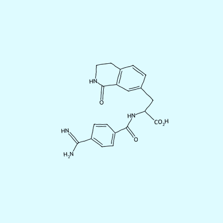 N=C(N)c1ccc(C(=O)NC(Cc2ccc3c(c2)C(=O)NCC3)C(=O)O)cc1